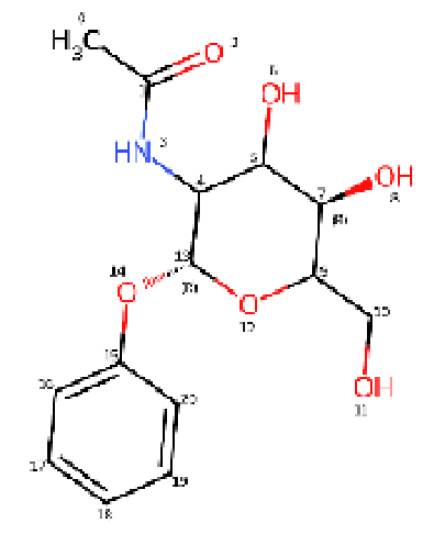 CC(=O)NC1C(O)[C@@H](O)C(CO)O[C@@H]1Oc1ccccc1